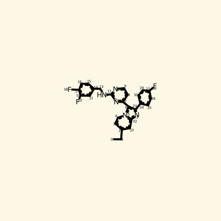 CCc1ccn2c(-c3ccnc(NCc4ccc(F)c(F)c4)n3)c(-c3ccc(F)cc3)nc2c1